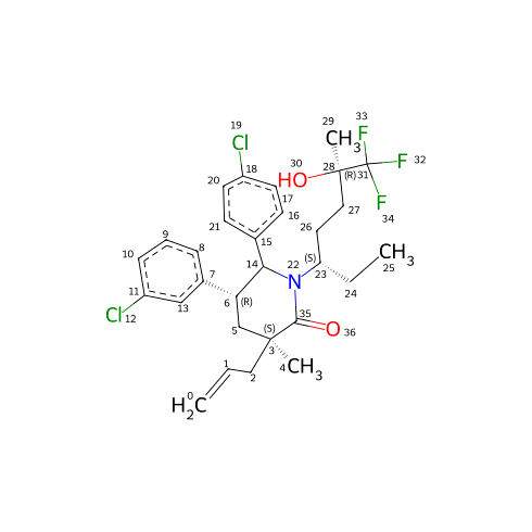 C=CC[C@@]1(C)C[C@H](c2cccc(Cl)c2)C(c2ccc(Cl)cc2)N([C@@H](CC)CC[C@@](C)(O)C(F)(F)F)C1=O